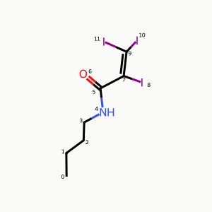 CCCCNC(=O)C(I)=C(I)I